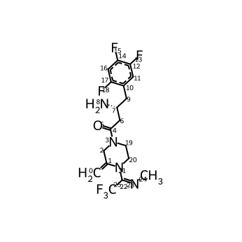 C=C1CN(C(=O)C[C@H](N)Cc2cc(F)c(F)cc2F)CCN1/C(=N\C)C(F)(F)F